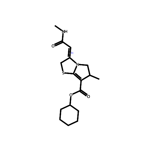 CNC(=O)/C=C1\CSC2=C(C(=O)OC3CCCCC3)C(C)CN21